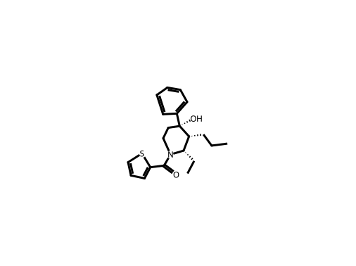 CCC[C@@H]1[C@H](CC)N(C(=O)c2cccs2)CC[C@@]1(O)c1ccccc1